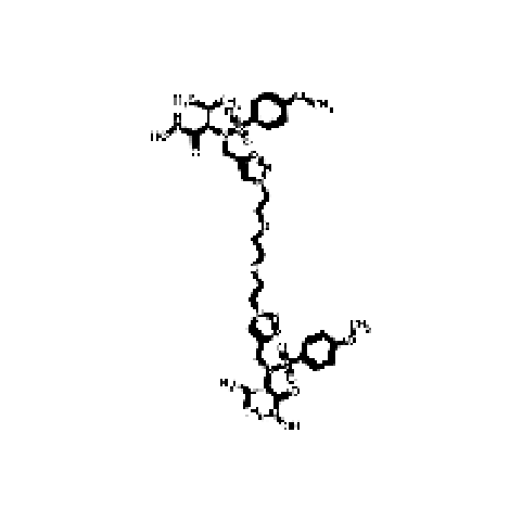 COc1ccc(S(=O)(=O)N(Cc2cn(CCOCCOCCn3cc(CN([C@@H](C(=O)NO)C(C)C)S(=O)(=O)c4ccc(OC)cc4)nn3)nn2)[C@H](C(=O)NO)C(C)C)cc1